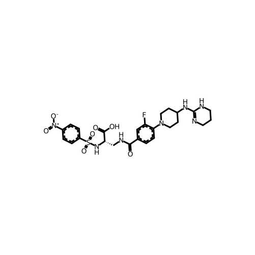 O=C(NC[C@H](NS(=O)(=O)c1ccc([N+](=O)[O-])cc1)C(=O)O)c1ccc(N2CCC(NC3=NCCCN3)CC2)c(F)c1